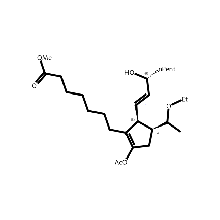 CCCCC[C@@H](O)/C=C/[C@@H]1C(CCCCCCC(=O)OC)=C(OC(C)=O)C[C@@H]1C(C)OCC